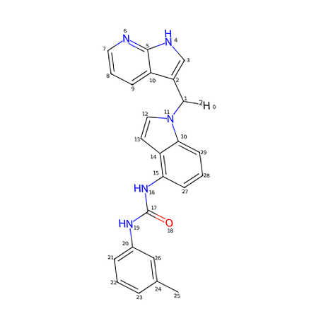 [2H]C(c1c[nH]c2ncccc12)n1ccc2c(NC(=O)Nc3cccc(C)c3)cccc21